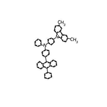 Cc1ccc2c(c1)c1cc(C)ccc1n2-c1ccc(N(c2ccccc2)c2ccc(-c3c4ccccc4c(-c4ccccc4)c4ccccc34)cc2)cc1